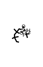 CCC(C)(C)CC(C)(C)CS(=O)(=O)NC(C)(F)F